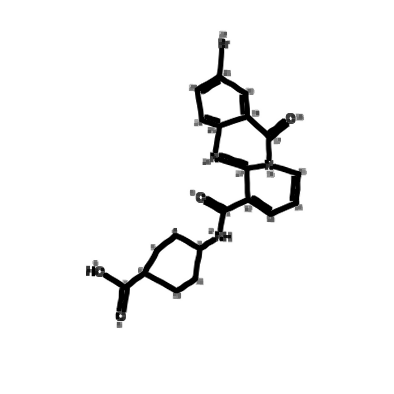 O=C(NC1CCC(C(=O)O)CC1)c1cccn2c(=O)c3cc(Br)ccc3nc12